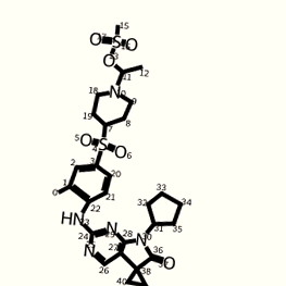 Cc1cc(S(=O)(=O)C2CCN(C(C)OS(C)(=O)=O)CC2)ccc1Nc1ncc2c(n1)N(C1CCCC1)C(=O)C21CC1